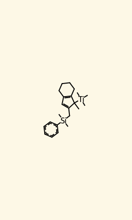 C[C]1([Ti]([CH3])([CH3])[CH3])C(C[Si](C)(C)c2ccccc2)=CC2=C1CCCC2